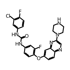 O=C(Nc1ccc(Oc2ccc3ncc(N4CCNCC4)nc3c2)c(F)c1)Nc1ccc(F)c(Cl)c1